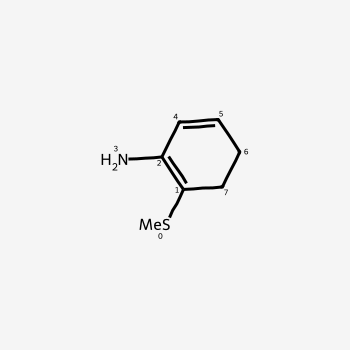 CSC1=C(N)C=CCC1